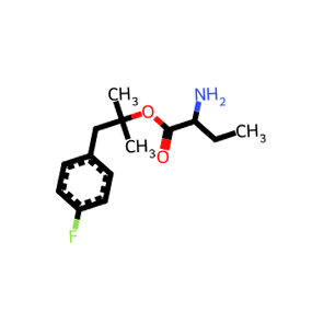 CCC(N)C(=O)OC(C)(C)Cc1ccc(F)cc1